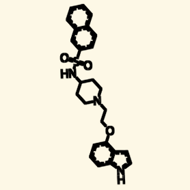 O=S(=O)(NC1CCN(CCOc2cccc3[nH]ccc23)CC1)c1ccc2ccccc2c1